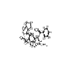 CC[C@@H]1C(=O)N(C)c2cnc(C(=CN(C)C)C(=O)c3ccccc3)nc2N1C1CCCC1